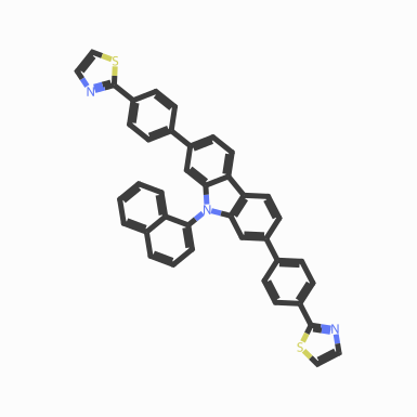 c1ccc2c(-n3c4cc(-c5ccc(-c6nccs6)cc5)ccc4c4ccc(-c5ccc(-c6nccs6)cc5)cc43)cccc2c1